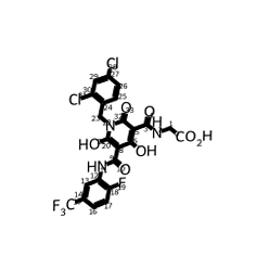 O=C(O)CNC(=O)c1c(O)c(C(=O)Nc2cc(C(F)(F)F)ccc2F)c(O)n(Cc2ccc(Cl)cc2Cl)c1=O